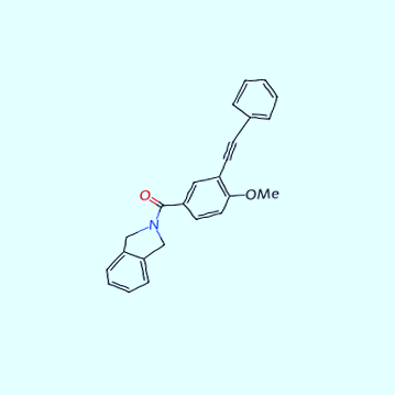 COc1ccc(C(=O)N2Cc3ccccc3C2)cc1C#Cc1ccccc1